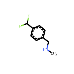 CNCc1ccc(C(F)F)cc1